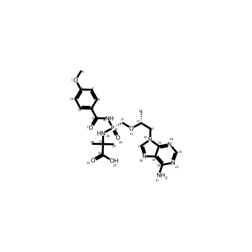 COc1ccc(C(=O)N[P@](=O)(CO[C@H](C)Cn2cnc3c(N)ncnc32)NC(C)(C)C(=O)O)cc1